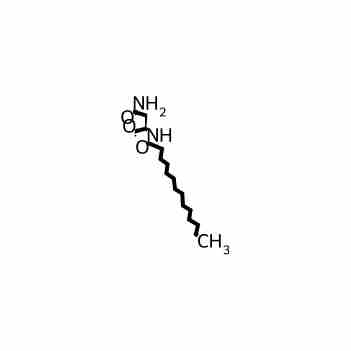 CCCCCCCCCCCCCC(=O)N[C@@H]([C]=O)CC(N)=O